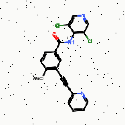 COc1ccc(C(=O)Nc2c(Cl)cncc2Cl)cc1C#Cc1ccccn1